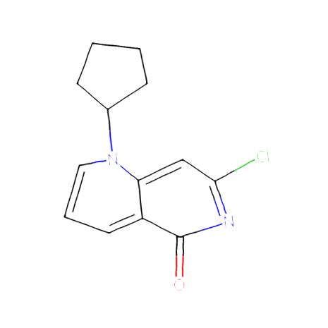 O=c1nc(Cl)cc2n(C3CCCC3)cccc1-2